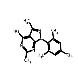 Cc1cc(C)c(-n2nc(C)c3c(O)nc(C)nc32)c(C)c1